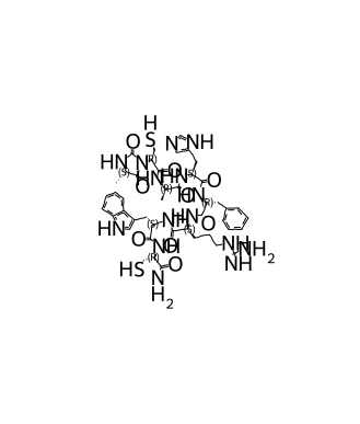 C[C@@H]1NC(=O)N([C@@H](CS)C(=O)N[C@H](C)C(=O)N[C@@H](Cc2cnc[nH]2)C(=O)N[C@H](Cc2ccccc2)C(=O)N[C@@H](CCCNC(=N)N)C(=O)N[C@@H](Cc2c[nH]c3ccccc23)C(=O)N[C@@H](CS)C(N)=O)C1=O